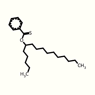 CCCCCCCCCCC(CCCCC)OC(=S)c1ccccc1